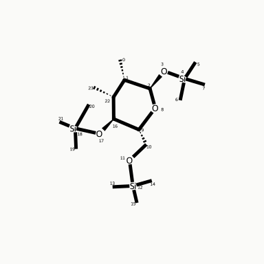 C[C@@H]1[C@@H](O[Si](C)(C)C)O[C@H](CO[Si](C)(C)C)[C@@H](O[Si](C)(C)C)[C@@H]1C